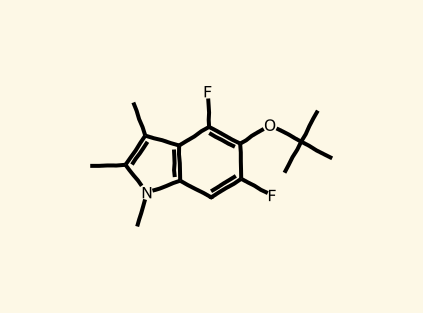 Cc1c(C)n(C)c2cc(F)c(OC(C)(C)C)c(F)c12